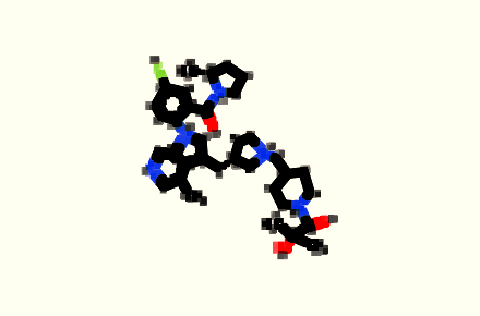 Cc1cncc2c1c(C[C@@H]1CCN(CC3CCN(C(=O)C(C)(C)O)CC3)C1)cn2-c1ccc(F)cc1C(=O)N1CCC[C@H]1C